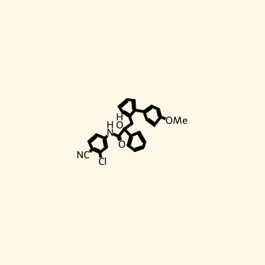 COc1ccc(-c2ccccc2CC(O)(C(=O)Nc2ccc(C#N)c(Cl)c2)c2ccccc2)cc1